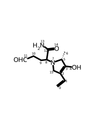 C=CC1=C(O)[C@@H](C)N(C(CCC=O)C(N)=O)C1